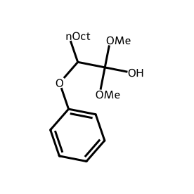 CCCCCCCCC(Oc1ccccc1)C(O)(OC)OC